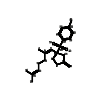 C=C1CCC(/C=C(/C)CCC=C(C)C)(S(=O)(=O)c2ccc(C)cc2)C1